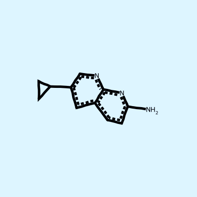 Nc1ccc2cc(C3CC3)cnc2n1